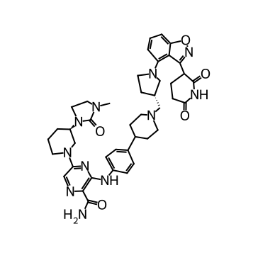 CN1CCN([C@@H]2CCCN(c3cnc(C(N)=O)c(Nc4ccc(C5CCN(C[C@@H]6CCN(c7cccc8onc(C9CCC(=O)NC9=O)c78)C6)CC5)cc4)n3)C2)C1=O